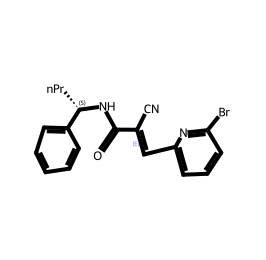 CCC[C@H](NC(=O)/C(C#N)=C/c1cccc(Br)n1)c1ccccc1